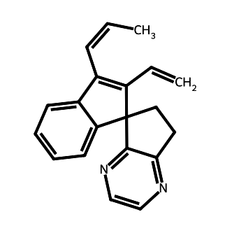 C=CC1=C(/C=C\C)c2ccccc2C12CCc1nccnc12